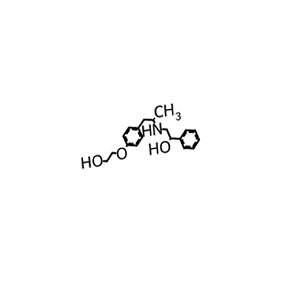 C[C@H](Cc1ccc(OCCO)cc1)NC[C@H](O)c1ccccc1